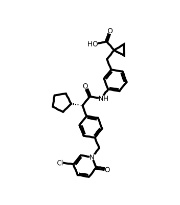 O=C(Nc1cccc(CC2(C(=O)O)CC2)c1)[C@H](c1ccc(Cn2cc(Cl)ccc2=O)cc1)C1CCCC1